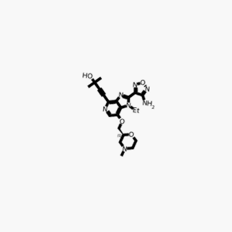 CCn1c(-c2nonc2N)nc2c(C#CC(C)(C)O)ncc(OC[C@@H]3CN(C)CCO3)c21